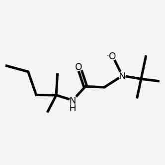 CCCC(C)(C)NC(=O)CN([O])C(C)(C)C